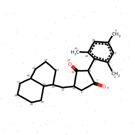 Cc1cc(C)c(C2C(=O)CC(CC3CCCC4CCCCC43)C2=O)c(C)c1